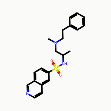 CC(CN(C)CCc1ccccc1)NS(=O)(=O)c1ccc2cnccc2c1